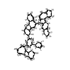 c1ccc(-c2nc(-c3ccc4oc5c6ccccc6c(-n6c7cc8ccccc8cc7c7c8ccccc8ccc76)cc5c4c3)nc(-c3cccc4sc5ccccc5c34)n2)cc1